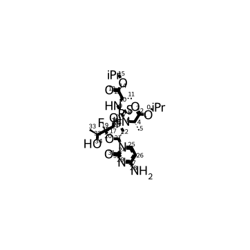 CC(C)OC(=O)[C@H](C)NP(=S)(N[C@@H](C)C(=O)OC(C)C)OC[C@@](F)(O[C@H](CF)n1ccc(N)nc1=O)[C@H](C)O